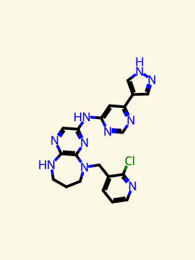 Clc1ncccc1CN1CCCNc2ncc(Nc3cc(-c4cn[nH]c4)ncn3)nc21